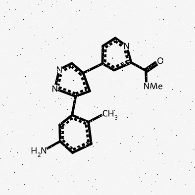 CNC(=O)c1cc(-c2cnnc(-c3cc(N)ccc3C)c2)ccn1